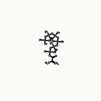 C=C(C)C(=O)O[Si](O[Si](O[Si](O[Si](O[Si](O[Si](C(C)C)(C(C)C)C(C)C)(C(C)C)C(C)C)(C(C)C)C(C)C)(C(C)C)C(C)C)(C(C)C)C(C)C)(C(C)C)C(C)C